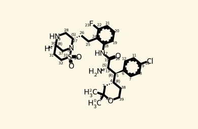 CC1(C)C[C@H]([C@H](c2ccc(Cl)cc2)[C@H](N)C(=O)Nc2cccc(F)c2CC[C@H]2CN[C@@H]3CCS(=O)(=O)N2C3)CCO1